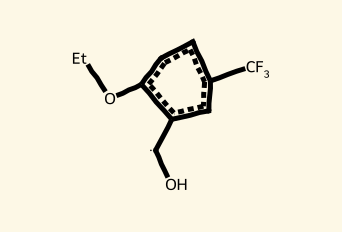 CCOc1ccc(C(F)(F)F)cc1[CH]O